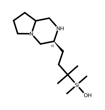 CC(C)(CC[C@H]1CN2CCCC2CN1)[Si](C)(C)O